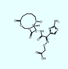 Nc1nc(/C(=N/OCC(=O)O)C(=O)N[C@@H]2C(=O)N3COC(=O)CCCC[S+]([O-])[C@H]23)cs1